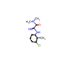 Cc1c(Cl)cccc1NC(=N)C(=O)N(C)C